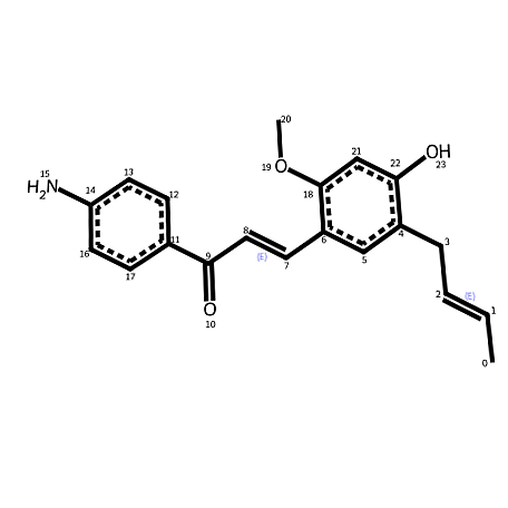 C/C=C/Cc1cc(/C=C/C(=O)c2ccc(N)cc2)c(OC)cc1O